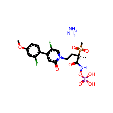 COc1ccc(-c2cc(=O)n(CC[C@](C)(C(=O)NOP(=O)(O)O)S(C)(=O)=O)cc2F)c(F)c1.N.N